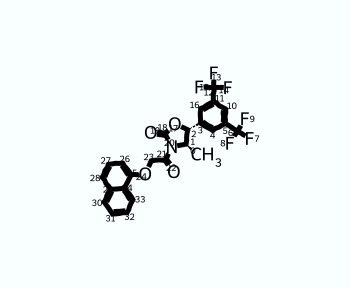 C[C@H]1[C@@H](c2cc(C(F)(F)F)cc(C(F)(F)F)c2)OC(=O)N1C(=O)COc1cccc2ccccc12